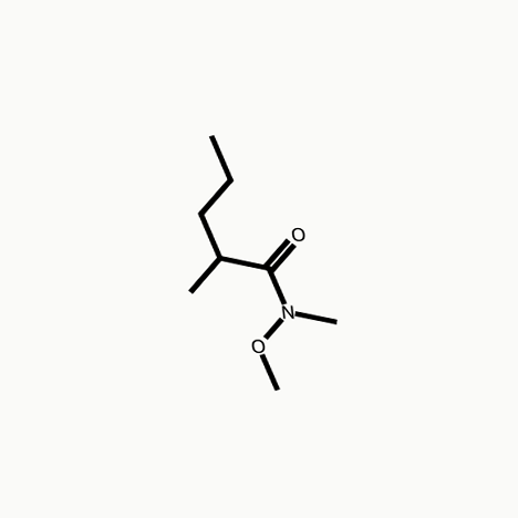 CCCC(C)C(=O)N(C)OC